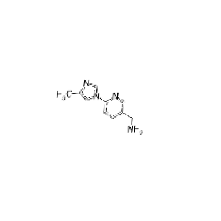 Cc1cn(-c2ccc(CN)cn2)cn1